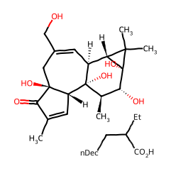 CC1=C[C@H]2[C@]3(O)[C@H](C)[C@@H](O)[C@@]4(O)[C@H]([C@@H]3C=C(CO)C[C@@]2(O)C1=O)C4(C)C.CCCCCCCCCCCC(CC)C(=O)O